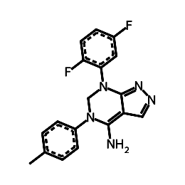 Cc1ccc(N2CN(c3cc(F)ccc3F)C3=NN=CC3=C2N)cc1